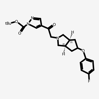 CC(C)(C)OC(=O)n1cc(C(=O)CN2C[C@H]3CC(Oc4ccc(F)cc4)C[C@H]3C2)cn1